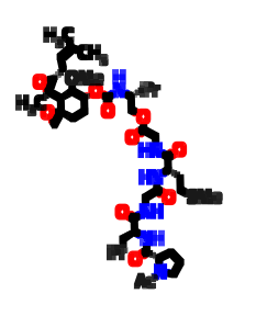 COC1[C@H](OC(=O)N[C@@H](COC(=O)CNC(=O)[C@H](CCSC)NC(=O)CNC(=O)[C@H](CC(C)C)NC(=O)[C@@H]2CCCN2C(C)=O)C(C)C)CC[C@]2(CO2)[C@H]1[C@@]1(C)O[C@@H]1CC=C(C)C